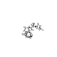 CN1CCN(C(=O)c2cc3c(OC#N)c(O)ccc3s2)CC1